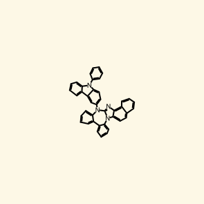 c1ccc(-n2c3ccccc3c3cc(N4c5ccccc5-c5ccccc5-n5c4nc4c6ccccc6ccc45)ccc32)cc1